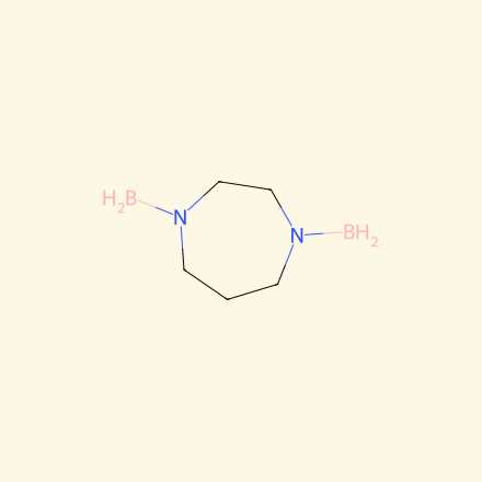 BN1CCCN(B)CC1